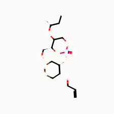 B[C@@H](CC)OC1CO[P@](=O)(O[C@@H]2CSSC[C@H]2OCC=C)O[C@H]1CO